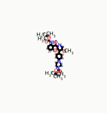 COc1cnc2c(=O)c3c(NC(=O)OC(C)(C)C)cccc3oc2c1-c1ccc(N2CCN(C(=O)OC(C)(C)C)CC2)cc1